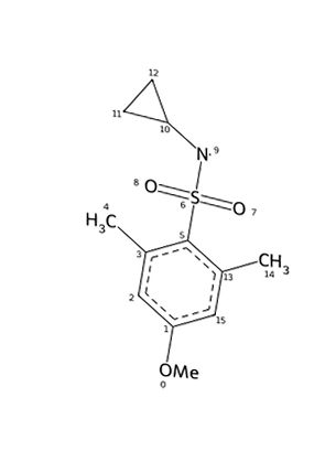 COc1cc(C)c(S(=O)(=O)[N]C2CC2)c(C)c1